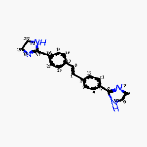 C(=Cc1ccc(C2=NCCN2)cc1)c1ccc(C2=NCCN2)cc1